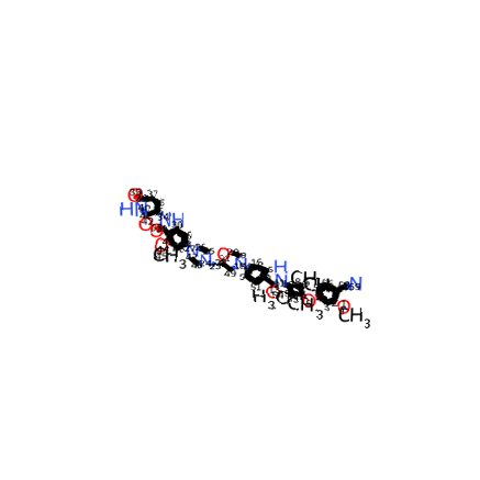 COc1cc(O[C@H]2C(C)(C)[C@H](NC(=O)c3ccc(N4CCO[C@@H](CN5CCN(c6ccc(C(=O)NC7CCC(=O)NC7=O)c(OC)c6)CC5)C4)cc3)C2(C)C)ccc1C#N